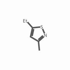 CCc1cc(C)ns1